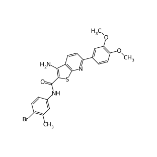 COc1ccc(-c2ccc3c(N)c(C(=O)Nc4ccc(Br)c(C)c4)sc3n2)cc1OC